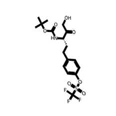 CC(C)(C)OC(=O)N[C@@H](CCc1ccc(OS(=O)(=O)C(F)(F)F)cc1)C(=O)CO